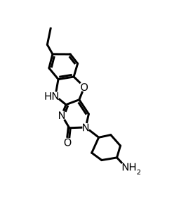 CCc1ccc2c(c1)Nc1nc(=O)n(C3CCC(N)CC3)cc1O2